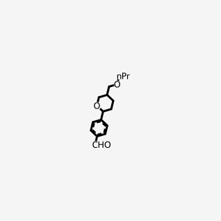 CCCOCC1CCC(c2ccc(C=O)cc2)OC1